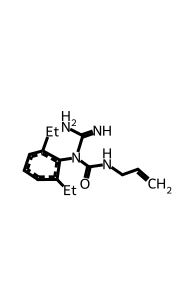 C=CCNC(=O)N(C(=N)N)c1c(CC)cccc1CC